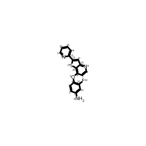 Nc1ccc(Oc2ccnc3cc(-c4cc[c]cn4)sc23)c(F)c1